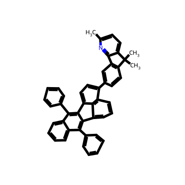 Cc1ccc2c(n1)-c1cc(-c3ccc4c5c(cccc35)-c3c-4c(-c4ccccc4)c4ccccc4c3-c3ccccc3)ccc1C2(C)C